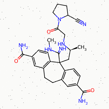 CNC(=N)C1(C[C@H](C)NCC(=O)N2CCCC2C#N)c2ccc(C(N)=O)cc2CCc2cc(C(N)=O)ccc21